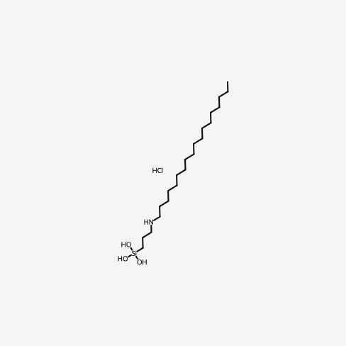 CCCCCCCCCCCCCCCCCCNCCC[Si](O)(O)O.Cl